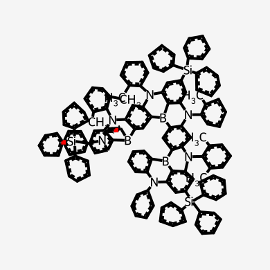 Cc1ccccc1N1c2cc3c(cc2B2c4cc5c(cc4N(c4ccccc4C)c4cc([Si](c6ccccc6)(c6ccccc6)c6ccccc6)cc1c42)N(c1c(C)cccc1C)c1cc([Si](c2ccccc2)(c2ccccc2)c2ccccc2)cc2c1B5c1ccccc1N2c1ccccc1)B1c2ccccc2N(c2ccccc2)c2cc([Si](c4ccccc4)(c4ccccc4)c4ccccc4)cc(c21)N3c1c(C)cccc1C